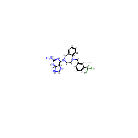 Nc1nc(N2CCN(Cc3cccc(C(F)(F)F)c3)c3ccccc3C2)c2nc[nH]c2n1